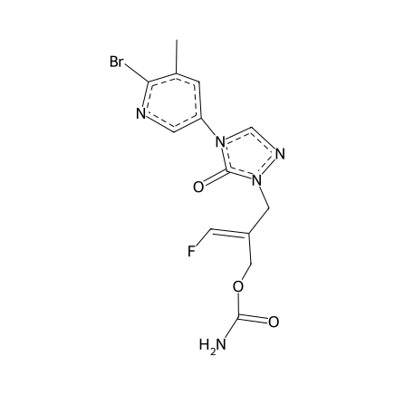 Cc1cc(-n2cnn(CC(=CF)COC(N)=O)c2=O)cnc1Br